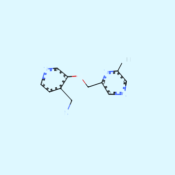 Cc1cncc(COc2cnccc2CN)n1